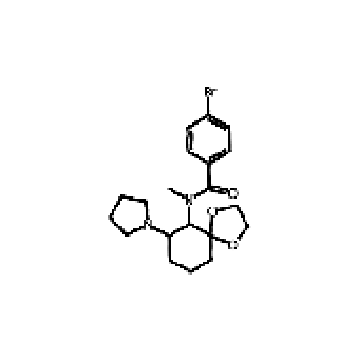 CN(C(=O)c1ccc(Br)cc1)C1C(N2CCCC2)CCCC12OCCO2